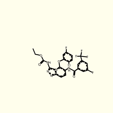 CCOC(=O)Nc1nnc2ccc(NC(=O)c3cc(F)cc(C(F)(F)F)c3)c(Oc3cc(F)ccc3Cl)n12